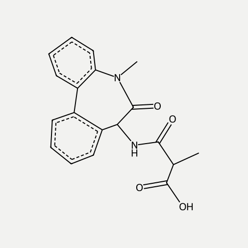 CC(C(=O)O)C(=O)NC1C(=O)N(C)c2ccccc2-c2ccccc21